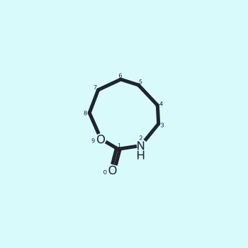 O=C1NCCCCCCO1